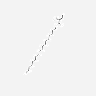 CC=C(Cl)C(=O)OCCCCCCCCCCCCCCCCCC